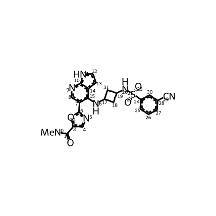 CNC(=O)c1cnc(-c2cnc3[nH]ccc3c2NC2CC(NS(=O)(=O)c3cccc(C#N)c3)C2)o1